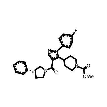 COC(=O)N1CCC(c2c(C(=O)N3CC[C@H](c4ccccc4)C3)cnn2-c2ccc(F)cc2)CC1